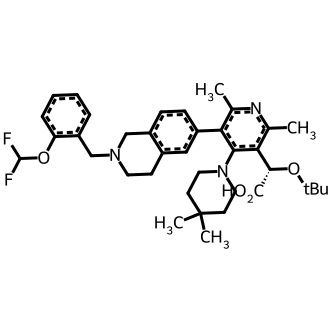 Cc1nc(C)c([C@H](OC(C)(C)C)C(=O)O)c(N2CCC(C)(C)CC2)c1-c1ccc2c(c1)CCN(Cc1ccccc1OC(F)F)C2